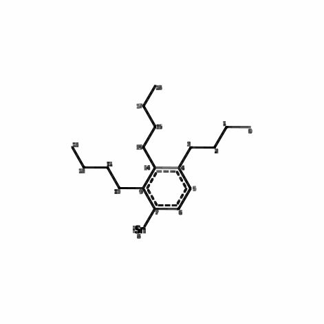 CCCCc1cc[c]([Sn])c(CCCC)c1CCCC